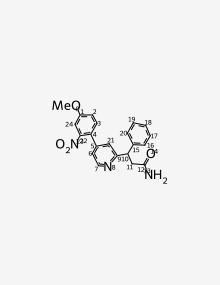 COc1ccc(-c2ccnc(C(CC(N)=O)c3ccccc3)c2)c([N+](=O)[O-])c1